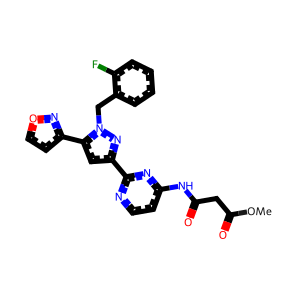 COC(=O)CC(=O)Nc1ccnc(-c2cc(-c3ccon3)n(Cc3ccccc3F)n2)n1